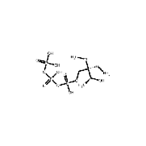 CO[C@](CN)(COP(=O)(O)OP(=O)(O)OP(=O)(O)O)[C@H](C)O